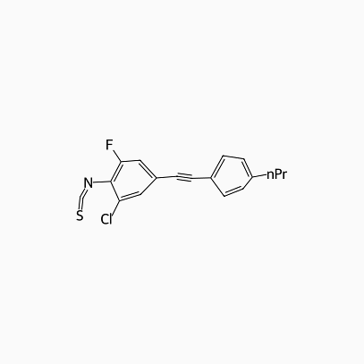 CCCc1ccc(C#Cc2cc(F)c(N=C=S)c(Cl)c2)cc1